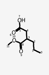 CCCC(CC(=O)O)C(=O)OC